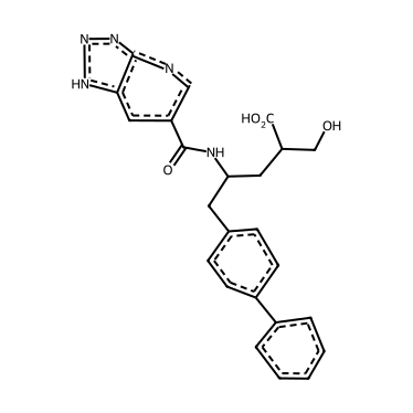 O=C(NC(Cc1ccc(-c2ccccc2)cc1)CC(CO)C(=O)O)c1cnc2nn[nH]c2c1